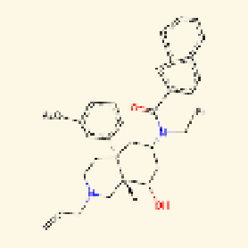 C=CCN1CC[C@@]2(c3cccc(OC(C)=O)c3)C[C@H](N(CC(C)C)C(=O)c3ccc4ccccc4c3)CC(O)[C@@H]2C1